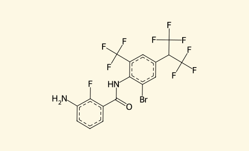 Nc1cccc(C(=O)Nc2c(Br)cc(C(C(F)(F)F)C(F)(F)F)cc2C(F)(F)F)c1F